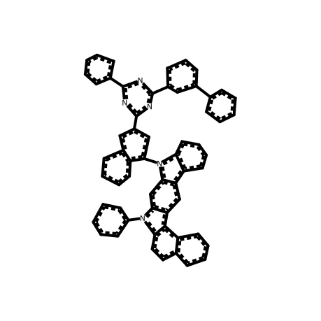 c1ccc(-c2cccc(-c3nc(-c4ccccc4)nc(-c4cc(-n5c6ccccc6c6cc7c8c9ccccc9ccc8n(-c8ccccc8)c7cc65)c5ccccc5c4)n3)c2)cc1